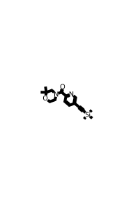 CC1(C)CN(C(=O)c2ccc(C#C[Si](C)(C)C)cn2)CCO1